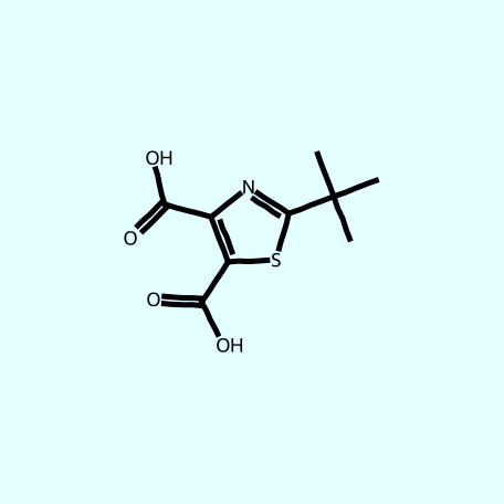 CC(C)(C)c1nc(C(=O)O)c(C(=O)O)s1